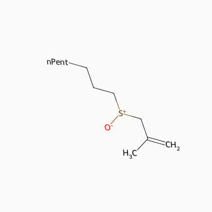 C=C(C)C[S+]([O-])CCCCCCCC